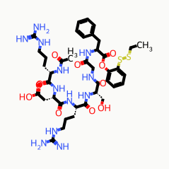 CCSSc1ccccc1OC(=O)C(Cc1ccccc1)NC(=O)CNC(=O)[C@H](CO)NC(=O)[C@H](CCCNC(=N)N)NC(=O)[C@H](CC(=O)O)NC(=O)[C@H](CCCNC(=N)N)NC(C)=O